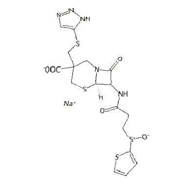 O=C(CC[S+]([O-])c1cccs1)NC1C(=O)N2CC(CSc3cnn[nH]3)(C(=O)[O-])CS[C@H]12.[Na+]